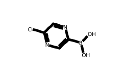 OB(O)c1cnc(Cl)cn1